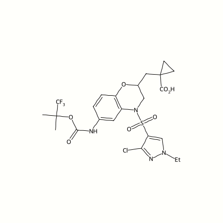 CCn1cc(S(=O)(=O)N2CC(CC3(C(=O)O)CC3)Oc3ccc(NC(=O)OC(C)(C)C(F)(F)F)cc32)c(Cl)n1